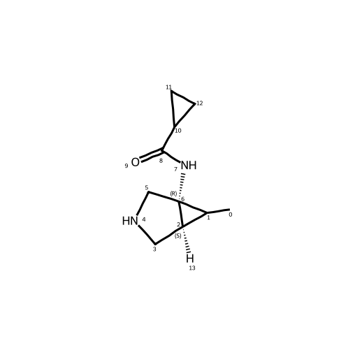 CC1[C@H]2CNC[C@@]12NC(=O)C1CC1